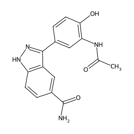 CC(=O)Nc1cc(-c2n[nH]c3ccc(C(N)=O)cc23)ccc1O